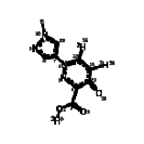 [2H]OC(=O)c1nn(-c2cnn(C)c2)c([2H])c([2H])c1=O